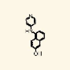 Oc1ccc2c(Nc3ccncc3)cccc2c1